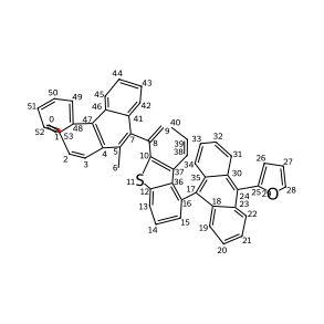 C=C/C=C\c1c(C)c(C(=C)c2sc3cccc(-c4c5ccccc5c(-c5ccco5)c5ccccc45)c3c2/C=C\C)c2ccccc2c1-c1ccccc1